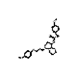 COc1ccc(NC(=S)OC2CCN(CCCOc3ccc(OC)cc3)C3CCCCC23)cc1